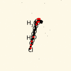 CN(CCOCCOCCOCCOCCC(=O)NCCOCCOCCCCCCCl)C(=O)OC1c2ccccc2-c2ccccc21